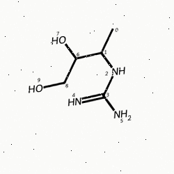 CC(NC(=N)N)C(O)CO